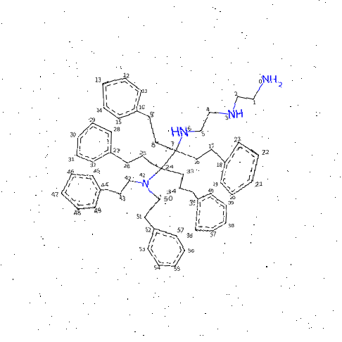 NCCNCCNC(CCc1ccccc1)(CCc1ccccc1)C(CCc1ccccc1)(CCc1ccccc1)N(CCc1ccccc1)CCc1ccccc1